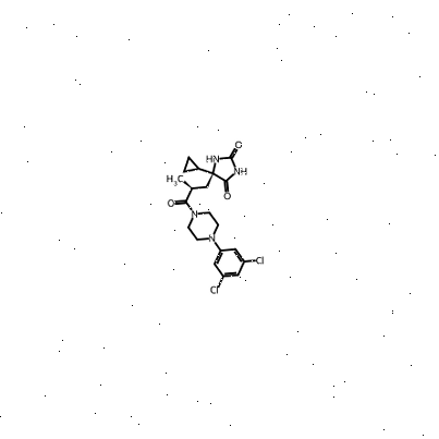 C[C@@H](C[C@@]1(C2CC2)NC(=O)NC1=O)C(=O)N1CCN(c2cc(Cl)cc(Cl)c2)CC1